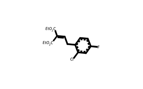 CCOC(=O)C(=CCc1ccc(F)cc1Cl)C(=O)OCC